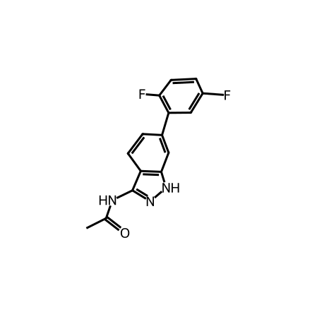 CC(=O)Nc1n[nH]c2cc(-c3cc(F)ccc3F)ccc12